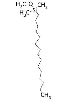 CCCCCCCCCCCCCCC[Si](C)(C)OC